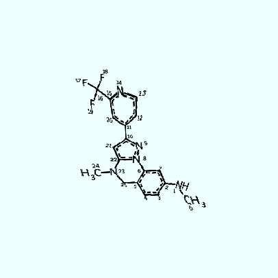 CNc1ccc2c(c1)-n1nc(-c3ccnc(C(F)(F)F)c3)cc1N(C)C2